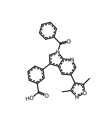 Cc1noc(C)c1-c1cnc2c(c1)c(-c1cccc(C(=O)O)c1)cn2C(=O)c1ccccc1